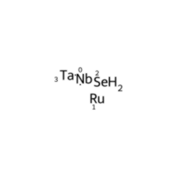 [Nb].[Ru].[SeH2].[Ta]